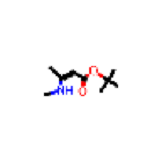 CN/C(C)=C\C(=O)OC(C)(C)C